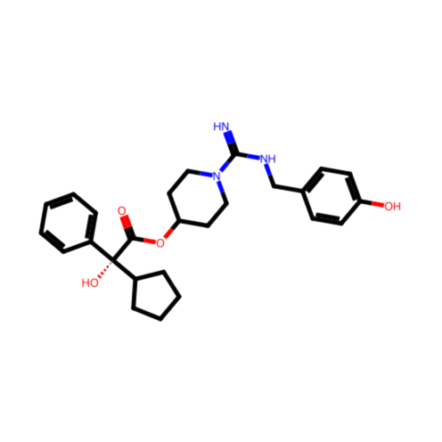 N=C(NCc1ccc(O)cc1)N1CCC(OC(=O)[C@](O)(c2ccccc2)C2CCCC2)CC1